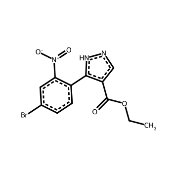 CCOC(=O)c1cn[nH]c1-c1ccc(Br)cc1[N+](=O)[O-]